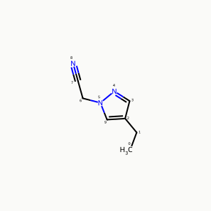 CCc1cnn(CC#N)c1